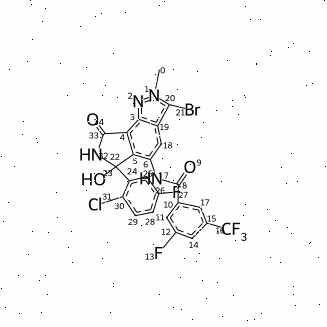 Cn1nc2c3c(c(NC(=O)c4cc(F)cc(C(F)(F)F)c4)cc2c1Br)C(O)(c1cc(F)ccc1Cl)NC3=O